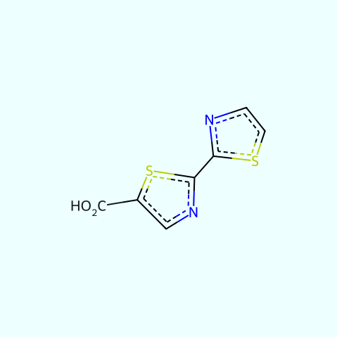 O=C(O)c1cnc(-c2nccs2)s1